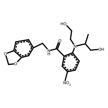 CC(CO)N(CCO)c1ccc([N+](=O)[O-])cc1C(=O)NCc1ccc2c(c1)OCO2